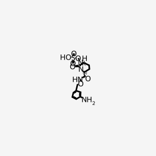 Nc1cccc(CONC(=O)[C@@H]2CC[C@H]3CN2C(=O)N3OS(=O)(=O)O)c1